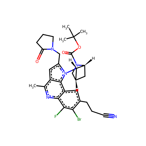 Cc1nc2c(F)c(Br)c(CCC#N)cc2c2c1cc(CN1CCCC1=O)n2[C@H]1[C@@H]2C[C@H]1N(C(=O)OC(C)(C)C)C2